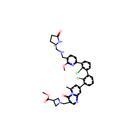 COC(=O)C1CN(Cc2cnc3cc(-c4cccc(-c5cccc(-c6ccc(CNC[C@H]7CCC(=O)N7)c(OC)n6)c5Cl)c4Cl)cc(C)n3c2=O)C1